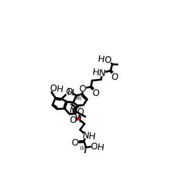 CC(O)C(=O)NCCC(=O)OC1=CC[C@@]2(OC(=O)CCNC(=O)[C@H](C)O)[C@H]3Cc4ccc(CO)c5c4[C@@]2(CCN3C)[C@H]1O5